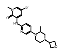 CC1CN(C2COC2)CCN1c1ccc(Nc2cc(Br)cn(C)c2=O)nc1